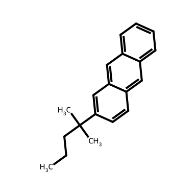 CCCC(C)(C)c1ccc2cc3ccccc3cc2c1